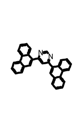 c1ccc2c(c1)cc(-c1cc(-c3cc4ccccc4c4ccccc34)ncn1)c1ccccc12